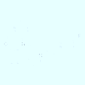 Fc1ccc(CCN2CCC[C@@H]2CN2c3ccccc3COc3ccccc32)cc1